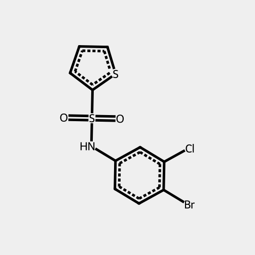 O=S(=O)(Nc1ccc(Br)c(Cl)c1)c1cccs1